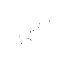 CC(=O)N(C(C)=O)C(CCCN)C(=O)O